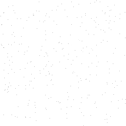 Fc1ccc(C(CCCN2CCC(Cc3nc4cccnc4n3Cc3cccs3)CC2)c2ccc(F)cc2)cc1